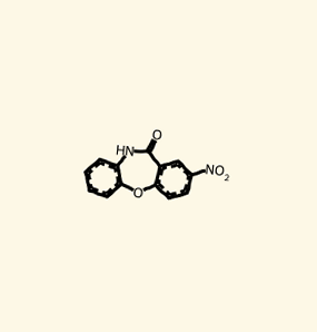 O=C1Nc2ccccc2Oc2ccc([N+](=O)[O-])cc21